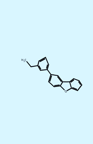 CCc1cccc(-c2ccc3oc4ccccc4c3c2)c1